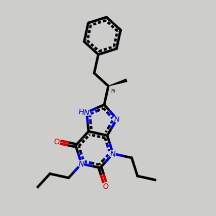 CCCn1c(=O)c2[nH]c([C@H](C)Cc3ccccc3)nc2n(CCC)c1=O